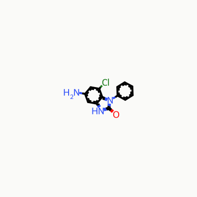 Nc1cc(Cl)c2c(c1)[nH]c(=O)n2-c1ccccc1